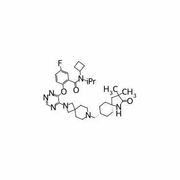 CC(C)N(C(=O)c1cc(F)ccc1Oc1nncnc1N1CC2(CCN(C[C@H]3CC[C@]4(CC3)CC(C)(C)C(=O)N4)CC2)C1)C1CCC1